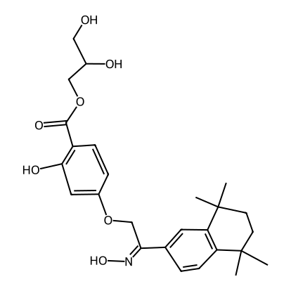 CC1(C)CCC(C)(C)c2cc(C(COc3ccc(C(=O)OCC(O)CO)c(O)c3)=NO)ccc21